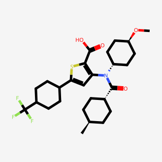 CO[C@H]1CC[C@H](N(c2cc(C3CCC(C(F)(F)F)CC3)sc2C(=O)O)C(=O)[C@H]2CC[C@H](C)CC2)CC1